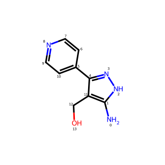 Nc1[nH]nc(-c2ccncc2)c1CO